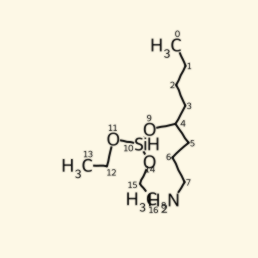 CCCCC(CCCN)O[SiH](OCC)OCC